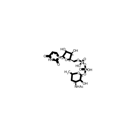 CC(=O)N[C@H]1CC(C)O[C@H](OP(=O)(O)OP(=O)(O)OC[C@H]2O[C@@H](n3ccc(=O)[nH]c3=O)C(O)[C@H]2O)C1O